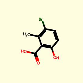 Cc1c(Br)ccc(O)c1C(=O)O